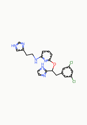 Clc1cc(Cl)cc(CC(Oc2cccc(NCCc3c[nH]cn3)n2)c2ncc[nH]2)c1